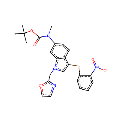 CN(C(=O)OC(C)(C)C)c1ccc2c(Sc3ccccc3[N+](=O)[O-])cn(Cc3ncco3)c2c1